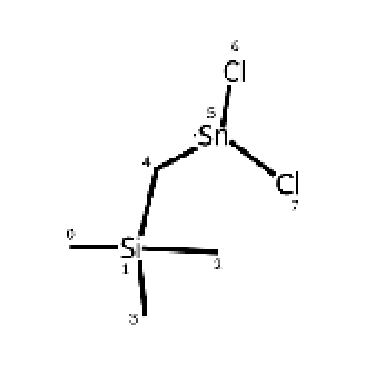 C[Si](C)(C)[CH2][Sn]([Cl])[Cl]